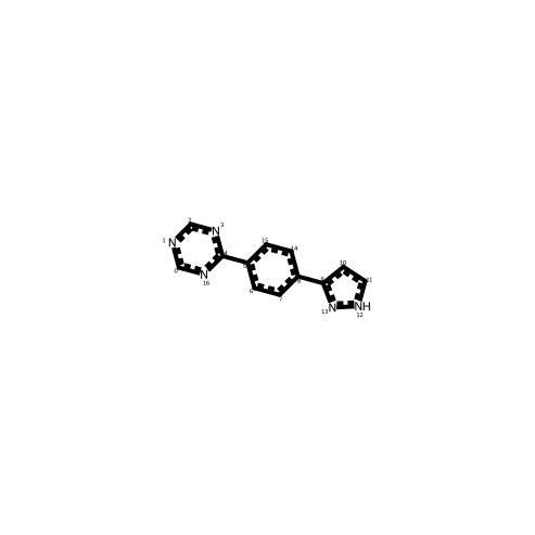 c1ncnc(-c2ccc(-c3cc[nH]n3)cc2)n1